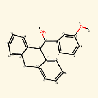 COc1cccc(C(O)C2c3ccccc3Cc3ccccc32)c1